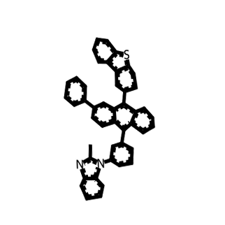 Cc1nc2ccccc2n1-c1cccc(-c2c3ccccc3c(-c3ccc4sc5ccccc5c4c3)c3cc(-c4ccccc4)ccc23)c1